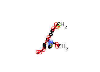 C=CC(=O)OCCCCN(/N=C/c1cc(OCC2CCC(C3CCC(OCCOC(=O)C(=C)C(F)(F)F)CC3)CC2)ccc1OCc1ccc2cc(OCCCOC3CO3)ccc2c1)c1nc2ccccc2s1